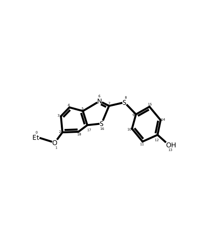 CCOc1ccc2nc(Sc3ccc(O)cc3)sc2c1